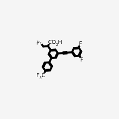 CC(C)CC(C(=O)O)c1cc(C#Cc2cc(F)cc(F)c2)cc(-c2ccc(C(F)(F)F)cc2)c1